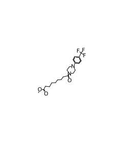 COC(=O)CCCCCCCC(=O)N1CCN(c2ccc(C(F)(F)F)cc2)CC1